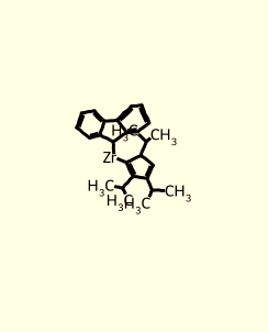 CC(C)C1=CC(C(C)C)[C]([Zr][CH]2c3ccccc3-c3ccccc32)=C1C(C)C